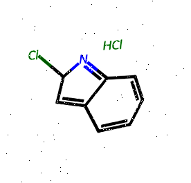 Cl.ClC1C=c2ccccc2=N1